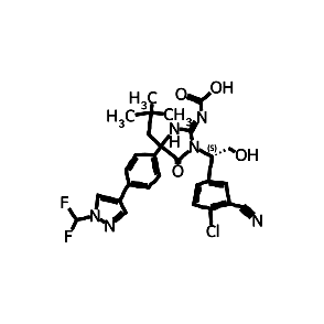 CC(C)(C)CC1(c2ccc(-c3cnn(C(F)F)c3)cc2)NC(=NC(=O)O)N([C@H](CO)c2ccc(Cl)c(C#N)c2)C1=O